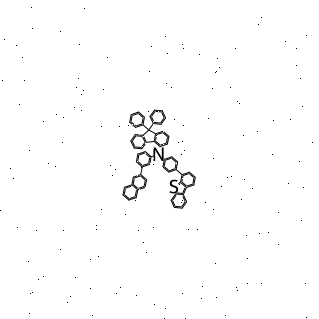 c1ccc(C2(c3ccccc3)c3ccccc3-c3c(N(c4ccc(-c5cccc6c5sc5ccccc56)cc4)c4cccc(-c5ccc6ccccc6c5)c4)cccc32)cc1